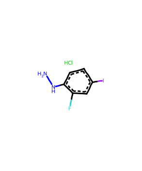 Cl.NNc1ccc(I)cc1F